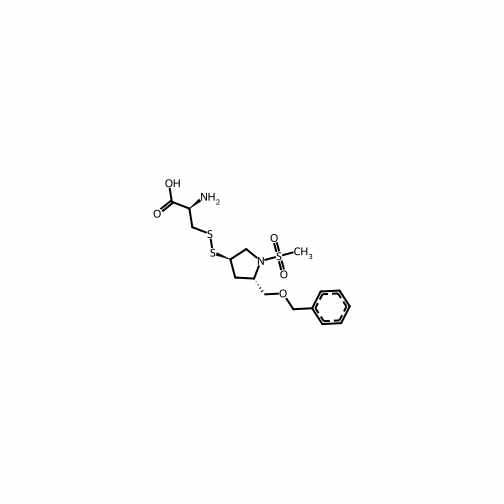 CS(=O)(=O)N1C[C@H](SSC[C@H](N)C(=O)O)C[C@H]1COCc1ccccc1